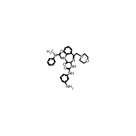 CN(C(=O)CN1C(=O)C(NC(=O)Nc2cccc(N)c2)N=C(CN2CCOCC2)c2ccccc21)c1ccccc1